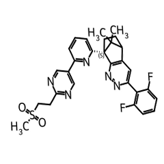 CC1(C)C2CC[C@]1(c1cccc(-c3cnc(CCS(C)(=O)=O)nc3)n1)c1nnc(-c3c(F)cccc3F)cc12